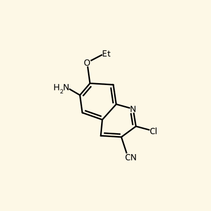 CCOc1cc2nc(Cl)c(C#N)cc2cc1N